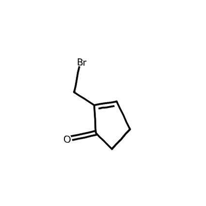 O=C1CCC=C1CBr